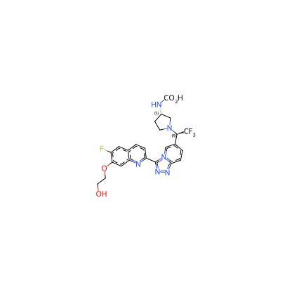 O=C(O)N[C@H]1CCN([C@H](c2ccc3nnc(-c4ccc5cc(F)c(OCCO)cc5n4)n3c2)C(F)(F)F)C1